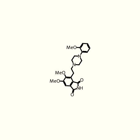 COc1ccccc1N1CCN(CCc2c(OC)c(OC)cc3c2C(=O)NC3=O)CC1